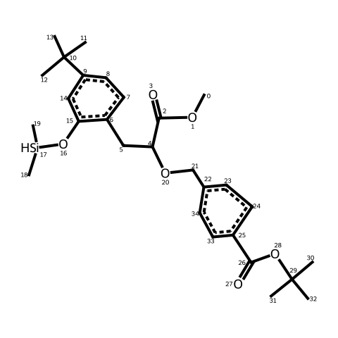 COC(=O)C(Cc1ccc(C(C)(C)C)cc1O[SiH](C)C)OCc1ccc(C(=O)OC(C)(C)C)cc1